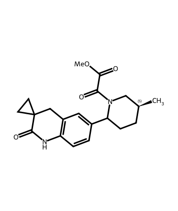 COC(=O)C(=O)N1C[C@@H](C)CCC1c1ccc2c(c1)CC1(CC1)C(=O)N2